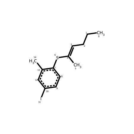 CCC/C=C(\C)Sc1ccc(I)cc1C